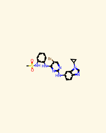 CS(=O)(=O)Nc1ccccc1Nc1nc(Nc2ccc3ncn(C4CC4)c3c2)ncc1Br